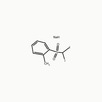 Cc1ccccc1S(=O)(=O)C(I)I.[NaH]